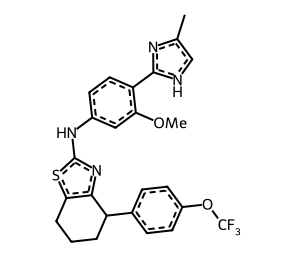 COc1cc(Nc2nc3c(s2)CCCC3c2ccc(OC(F)(F)F)cc2)ccc1-c1nc(C)c[nH]1